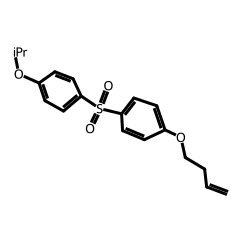 C=CCCOc1ccc(S(=O)(=O)c2ccc(OC(C)C)cc2)cc1